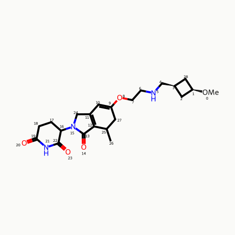 CO[C@H]1C[C@@H](CNCCOC2=CC3=C(C(=O)N(C4CCC(=O)NC4=O)C3)C(C)C2)C1